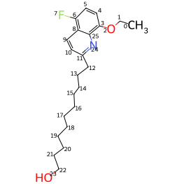 CCOc1ccc(F)c2ccc(CCCCCCCCCCCO)nc12